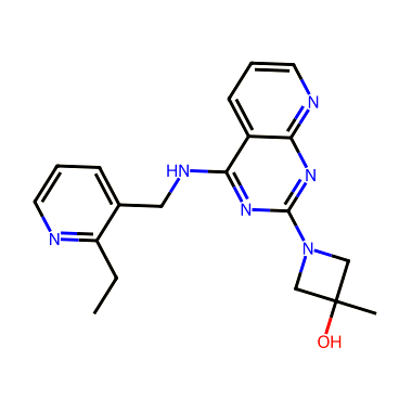 CCc1ncccc1CNc1nc(N2CC(C)(O)C2)nc2ncccc12